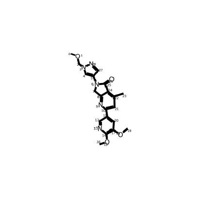 COCn1cc(N2Cc3nc(-c4cnc(OC)c(OC)c4)cc(C)c3C2=O)cn1